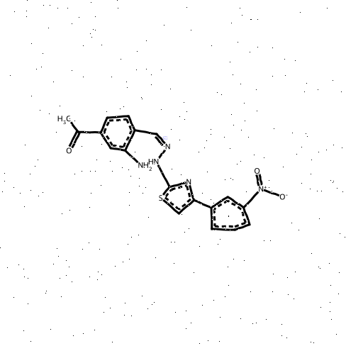 CC(=O)c1ccc(/C=N\Nc2nc(-c3cccc([N+](=O)[O-])c3)cs2)c(N)c1